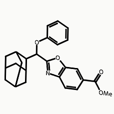 COC(=O)c1ccc2nc(C(Oc3ccccc3)C3C4CC5CC(C4)CC3C5)oc2c1